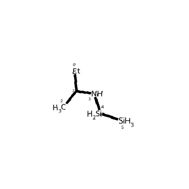 CCC(C)N[SiH2][SiH3]